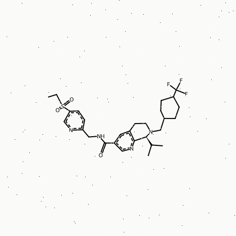 CCS(=O)(=O)c1ccc(CNC(=O)c2cnc3c(c2)CCN(CC2CCC(C(F)(F)F)CC2)[C@H]3C(C)C)nc1